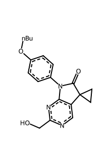 CCCCOc1ccc(N2C(=O)C3(CC3)c3cnc(CO)nc32)cc1